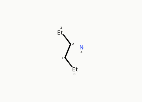 CCCCCC.[N]